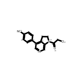 N#Cc1ccc(-c2cncc3c2CCN3C(=O)CCl)cc1